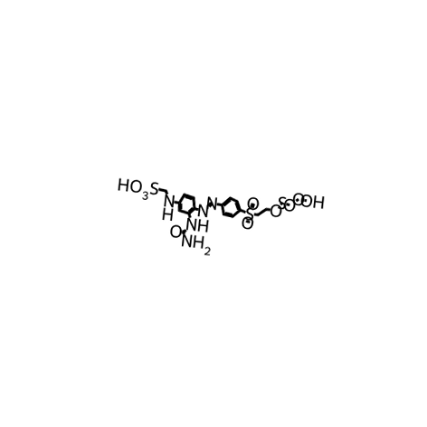 NC(=O)Nc1cc(NCS(=O)(=O)O)ccc1/N=N/c1ccc(S(=O)(=O)CCOSOOO)cc1